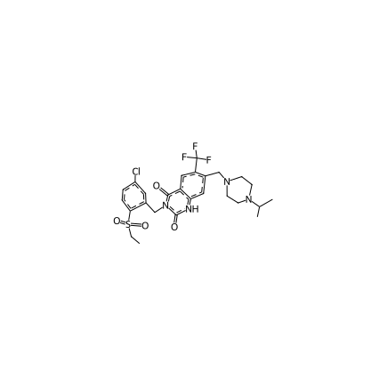 CCS(=O)(=O)c1ccc(Cl)cc1Cn1c(=O)[nH]c2cc(CN3CCN(C(C)C)CC3)c(C(F)(F)F)cc2c1=O